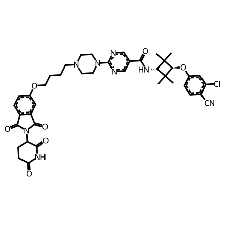 CC1(C)[C@H](NC(=O)c2cnc(N3CCN(CCCCOc4ccc5c(c4)C(=O)N(C4CCC(=O)NC4=O)C5=O)CC3)nc2)C(C)(C)[C@H]1Oc1ccc(C#N)c(Cl)c1